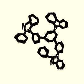 c1ccc(-c2nc3ccccc3n2-c2cccc(-c3cc(-c4cccc(-n5c(-c6ccccc6)nc6ccccc65)c4)cc(-n4c5ccccc5c5ccccc54)c3)c2)cc1